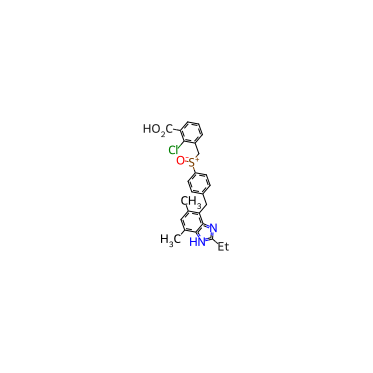 CCc1nc2c(Cc3ccc([S+]([O-])Cc4cccc(C(=O)O)c4Cl)cc3)c(C)cc(C)c2[nH]1